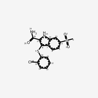 CS(=O)(=O)c1ccc2c(Sc3ccccc3Cl)c(C(N)=O)[nH]c2c1